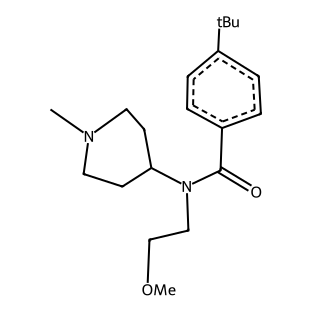 COCCN(C(=O)c1ccc(C(C)(C)C)cc1)C1CCN(C)CC1